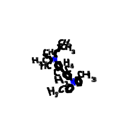 C#C/C(=C\C(C)=C/C)N(C/C=C\C=C(\C)C=C)c1ccc(-c2ccc(N(C3=C[C@H](C)CCC3)c3cccc(C)c3)cc2C)c(C)c1